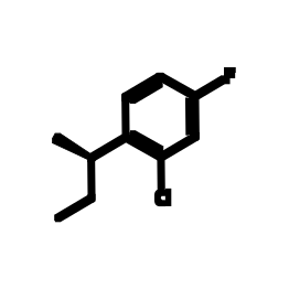 CC[C@@H](C)c1ccc(F)cc1Cl